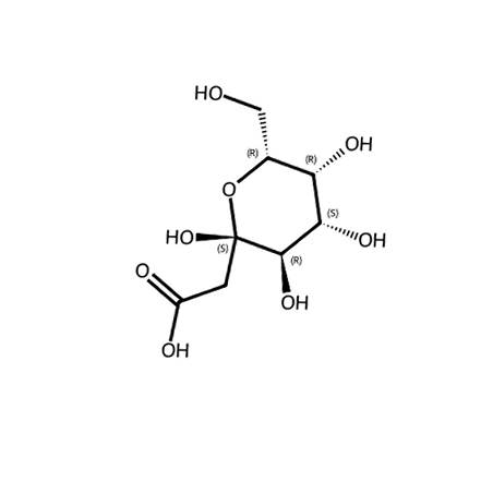 O=C(O)C[C@]1(O)O[C@H](CO)[C@H](O)[C@H](O)[C@H]1O